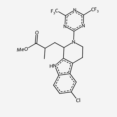 COC(=O)C(C)CC1c2[nH]c3ccc(Cl)cc3c2CCN1c1nc(C(F)(F)F)nc(C(F)(F)F)n1